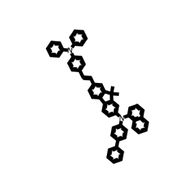 CC1(C)c2cc(/C=C/c3ccc(N(c4ccccc4)c4ccccc4)cc3)ccc2-c2ccc(N(c3ccc(-c4ccccc4)cc3)c3cccc4ccccc34)cc21